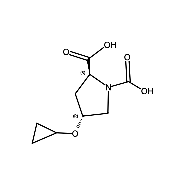 O=C(O)[C@@H]1C[C@@H](OC2CC2)CN1C(=O)O